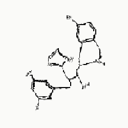 CCc1ccc2c(c1)CC(C(O)C(Cc1cc(F)cc(F)c1)c1ncc[nH]1)NC2